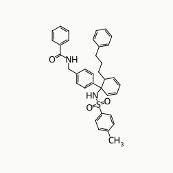 Cc1ccc(S(=O)(=O)NC2(c3ccc(CNC(=O)c4ccccc4)cc3)C=CC=CC2CCCc2ccccc2)cc1